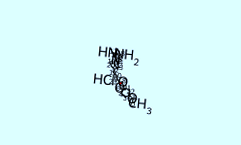 COc1ccc(OC(=O)CCCC2CCN(C(=N)N)CC2)cc1.Cl